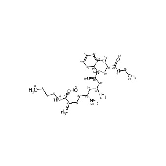 CCCCNC(=O)[C@H](C)C[C@H](O)[C@@H](N)C[C@H](C)CC(=O)N1C[C@H](C(=O)OCC)Oc2ccccc21